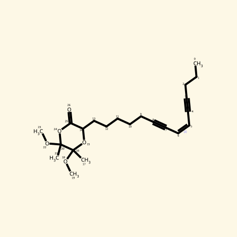 CCCC#C/C=C\C#CCCCCCC1OC(C)(OC)C(C)(OC)OC1=O